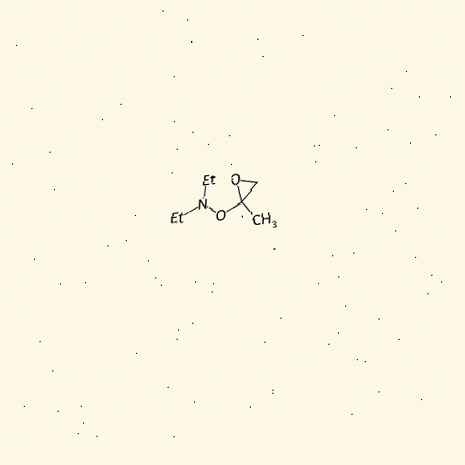 CCN(CC)OC1(C)CO1